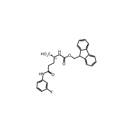 O=C(CC[C@H](NC(=O)OCC1c2ccccc2-c2ccccc21)C(=O)O)Nc1cccc(F)c1